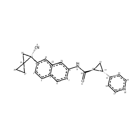 N#C[C@@]1(c2ccc3cnc(NC(=O)[C@H]4C[C@@H]4c4ccncc4)cc3c2)CC12CC2